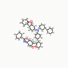 c1ccc(-c2cccc(N(c3ccc(-c4cccc5oc6cc7nc(-c8ccccc8)oc7cc6c45)cc3)c3ccc4c(c3)oc3ccccc34)c2)cc1